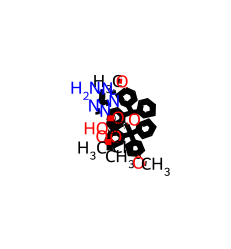 COc1ccc(C(OC([C@H]2O[C@@H](n3cnc4c(N)ncnc43)[C@H](O)[C@@H]2OC(=O)C(C)(C)C)C(c2ccccc2)(c2ccccc2)c2ccc(OC)cc2)(c2ccccc2)c2ccccc2)cc1